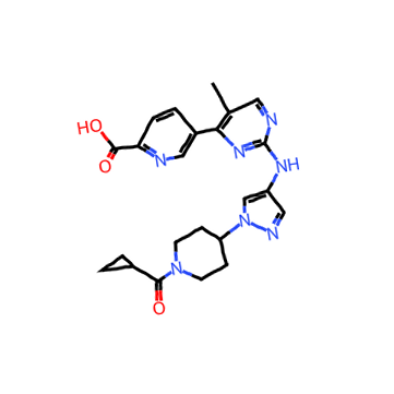 Cc1cnc(Nc2cnn(C3CCN(C(=O)C4CC4)CC3)c2)nc1-c1ccc(C(=O)O)nc1